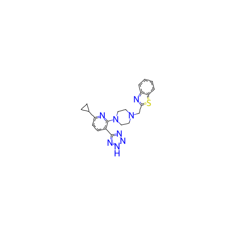 c1ccc2sc(CN3CCN(c4nc(C5CC5)ccc4-c4nn[nH]n4)CC3)nc2c1